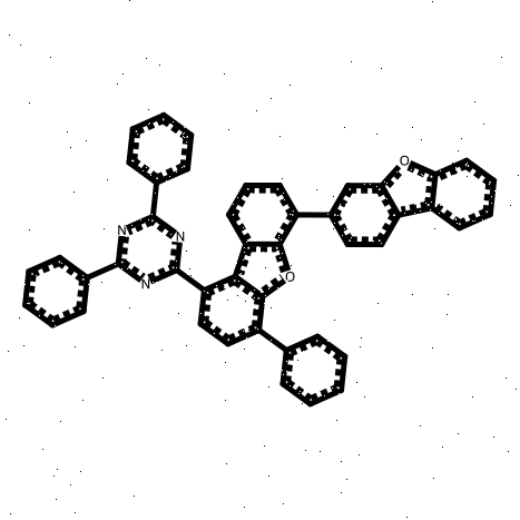 c1ccc(-c2nc(-c3ccccc3)nc(-c3ccc(-c4ccccc4)c4oc5c(-c6ccc7c(c6)oc6ccccc67)cccc5c34)n2)cc1